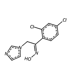 ON=C(Cn1ccnc1)c1ccc(Cl)cc1Cl